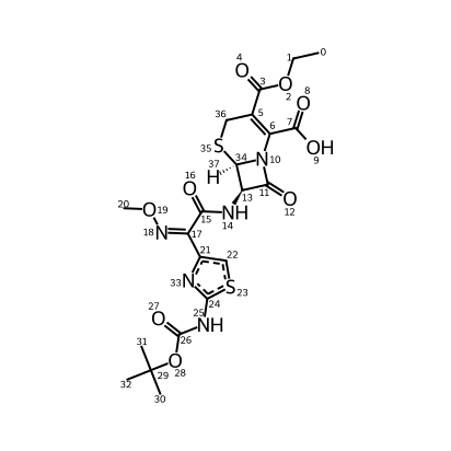 CCOC(=O)C1=C(C(=O)O)N2C(=O)[C@@H](NC(=O)/C(=N\OC)c3csc(NC(=O)OC(C)(C)C)n3)[C@H]2SC1